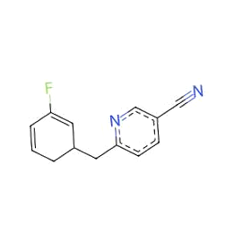 N#Cc1ccc(CC2C=C(F)C=CC2)nc1